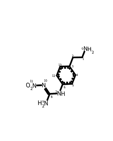 NCCc1ccc(NC(N)=N[N+](=O)[O-])cc1